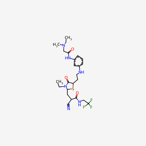 CCN(C)CC(=O)Nc1cccc(NCCC2SC(CC(C#N)C(=O)NCC(F)(F)F)N(CC)C2=O)c1